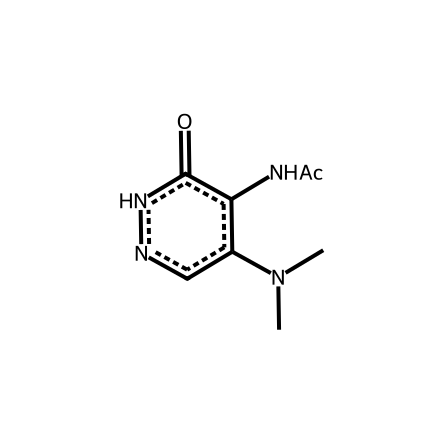 CC(=O)Nc1c(N(C)C)cn[nH]c1=O